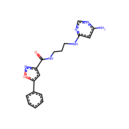 Nc1cc(NCCCNC(=O)c2cc(-c3ccccc3)on2)ncn1